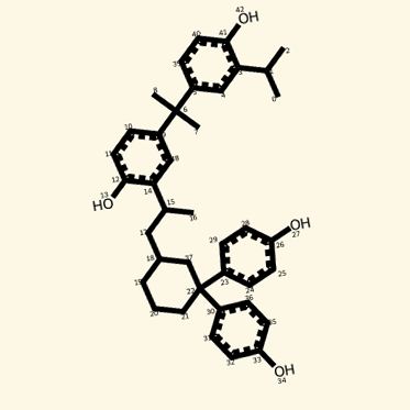 CC(C)c1cc(C(C)(C)c2ccc(O)c(C(C)CC3CCCC(c4ccc(O)cc4)(c4ccc(O)cc4)C3)c2)ccc1O